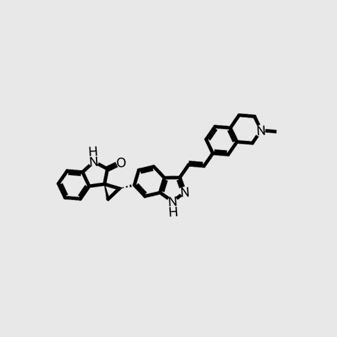 CN1CCc2ccc(C=Cc3n[nH]c4cc([C@@H]5C[C@@]56C(=O)Nc5ccccc56)ccc34)cc2C1